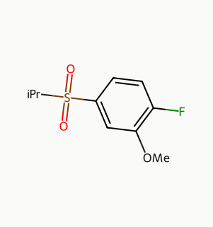 COc1cc(S(=O)(=O)C(C)C)ccc1F